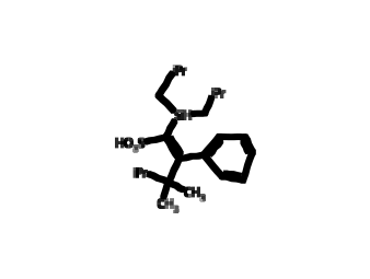 CC(C)C[SiH](CC(C)C)C(=C(c1ccccc1)C(C)(C)C(C)C)S(=O)(=O)O